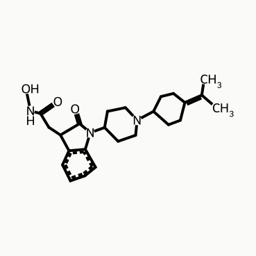 CC(C)=C1CCC(N2CCC(N3C(=O)C(CC(=O)NO)c4ccccc43)CC2)CC1